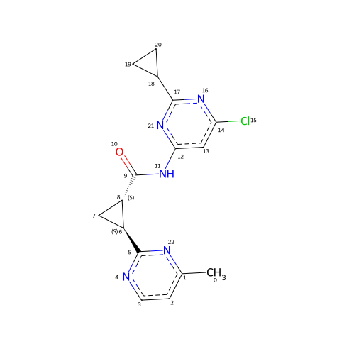 Cc1ccnc([C@H]2C[C@@H]2C(=O)Nc2cc(Cl)nc(C3CC3)n2)n1